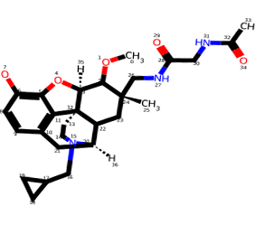 COC1[C@@H]2Oc3c(O)ccc4c3[C@@]23CCN(CC2CC2)[C@H](C4)C3C[C@@]1(C)CNC(=O)CNC(C)=O